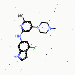 CN1CCN(c2cc(C#N)nc(Nc3cc(Cl)c4cc[nH]c4c3)c2)CC1